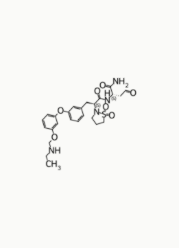 CCNCOc1cccc(Oc2cccc(C[C@@H](C(=O)N[C@@H](CC=O)C(N)=O)N3CCCS3(=O)=O)c2)c1